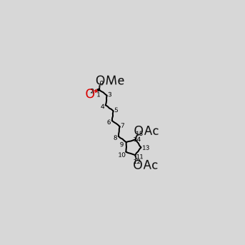 COC(=O)CCCCCCC1CC(OC(C)=O)CC1OC(C)=O